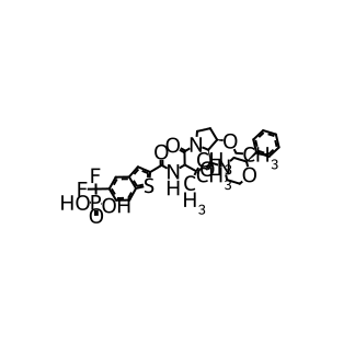 CCO[C@@H]1CCN(C(=O)C(NC(=O)c2cc3cc(C(F)(F)P(=O)(O)O)ccc3s2)C(C)(C)C)[C@@H]1C(=O)N1CCO[C@H](c2ccccc2)C1